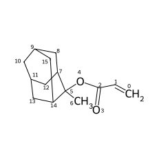 C=CC(=O)OC1(C)C2CC3CC(C2)CC1C3